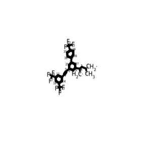 [CH2]C(C)CC([CH2])c1cc(C#Cc2cc(C(F)(F)F)cc(C(F)(F)F)c2)cc(-c2ccc(C(F)(F)F)cc2)c1